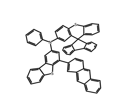 c1ccc(N(c2ccc3c(c2)C2(c4ccccc4S3)c3ccccc3-c3ccccc32)c2cc(-c3ccc4cc5ccccc5cc4c3)c3sc4ccccc4c3c2)cc1